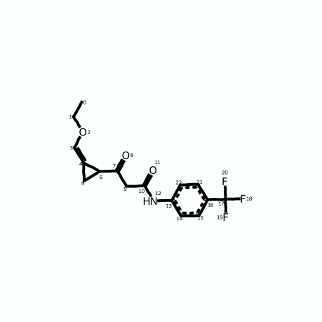 CCOC=C1CC1C(=O)CC(=O)Nc1ccc(C(F)(F)F)cc1